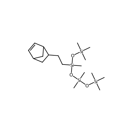 C[Si](C)(C)O[Si](C)(C)O[Si](C)(CCC1CC2C=CC1C2)O[Si](C)(C)C